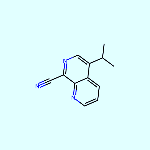 CC(C)c1cnc(C#N)c2ncccc12